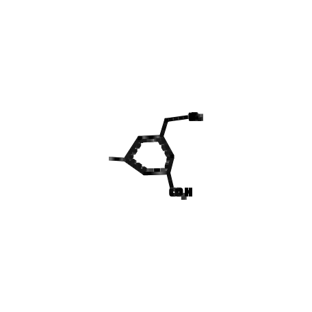 Cc1cc(CC(C)(C)C)cc(C(=O)O)c1